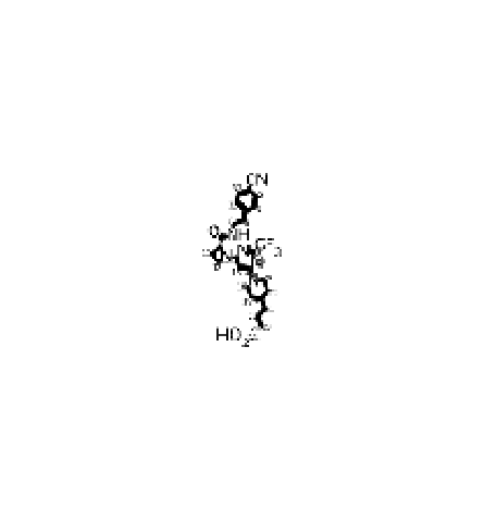 N#Cc1ccc(CCNC(=O)[C@@H]2CCN2c2cc(N3CCC(CCCC(=O)O)CC3)nc(C(F)(F)F)n2)cc1